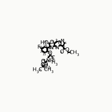 CCOC(=O)c1cnn2ccc(NC(C(=O)O)c3cc(F)ccc3O[C@@H](C)CNC(=O)OC(C)(C)C)nc12